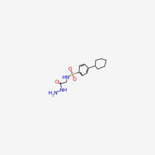 NNC(=O)CNS(=O)(=O)c1ccc(C2CCCCC2)cc1